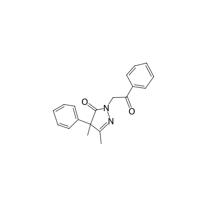 CC1=NN(CC(=O)c2ccccc2)C(=O)C1(C)c1ccccc1